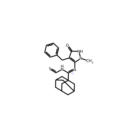 Cn1[nH]c(=O)c(Cc2ccccc2)c1/N=C(\NC=S)C12CC3CC(CC(C3)C1)C2